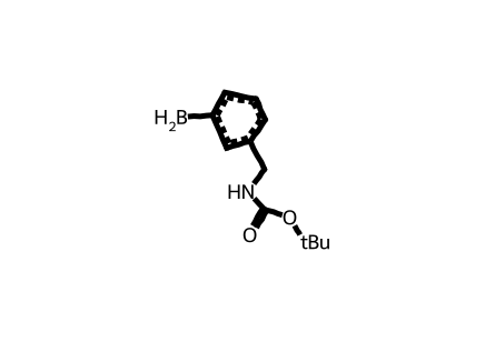 Bc1cccc(CNC(=O)OC(C)(C)C)c1